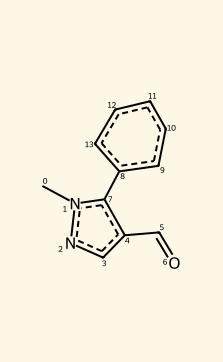 Cn1ncc(C=O)c1-c1ccccc1